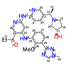 CCC(=O)c1cnc(Nc2ccc([C@@H](C)N3CC[C@H](O)C3)cn2)cc1Nc1cccc(-c2ncn(C)n2)c1OC